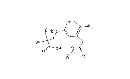 CCON(Cc1cc(C(=O)O)ccc1N)C(C)=O.O=C(O)C(F)(F)F